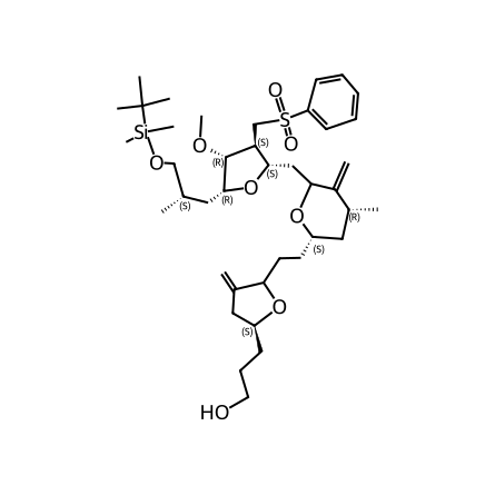 C=C1C[C@H](CCCO)OC1CC[C@H]1C[C@@H](C)C(=C)C(C[C@@H]2O[C@H](C[C@H](C)CO[Si](C)(C)C(C)(C)C)[C@H](OC)[C@H]2CS(=O)(=O)c2ccccc2)O1